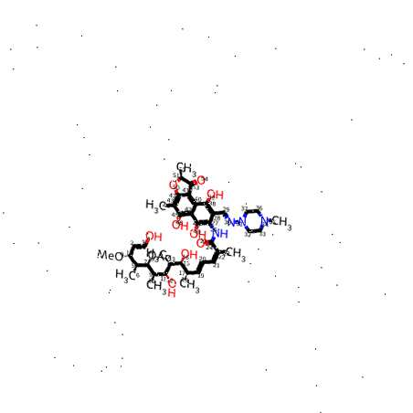 CO[C@H](/C=C/O)[C@H](C)[C@@H](OC(C)=O)[C@H](C)[C@H](O)[C@H](C)[C@@H](O)[C@@H](C)/C=C/C=C(/C)C(=O)Nc1c(/C=N/N2CCN(C)CC2)c(O)c2c3c(c(C)c(O)c2c1O)O[C@@H](C)C3=O